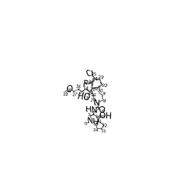 CNC[C@@H](NC(=O)N1CCC[C@@H]([C@@](O)(CCCCOC)c2cccc(Cl)c2F)C1)[C@H](O)C1CCCC1